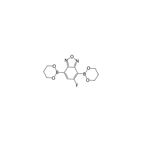 Fc1cc(B2OCCCO2)c2nonc2c1B1OCCCO1